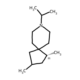 CC1C[C@@H](C)C2(CCN(C(C)C)CC2)C1